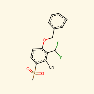 CS(=O)(=O)c1ccc(OCc2ccccc2)c(C(F)F)c1C#N